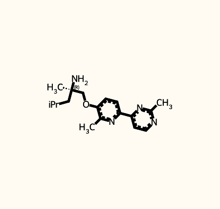 Cc1nccc(-c2ccc(OC[C@](C)(N)CC(C)C)c(C)n2)n1